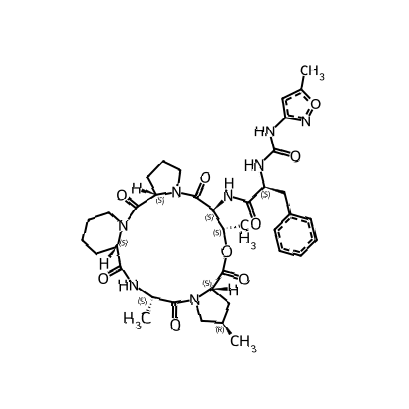 Cc1cc(NC(=O)N[C@@H](Cc2ccccc2)C(=O)N[C@@H]2C(=O)N3CCC[C@H]3C(=O)N3CCCC[C@H]3C(=O)N[C@@H](C)C(=O)N3C[C@H](C)C[C@H]3C(=O)O[C@H]2C)no1